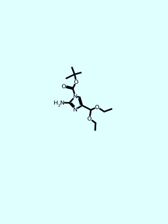 CCOC(OCC)c1cn(C(=O)OC(C)(C)C)c(N)n1